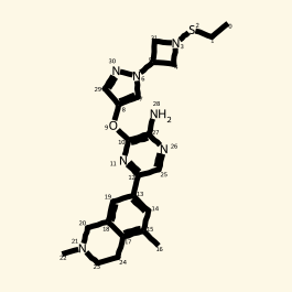 CCSN1CC(n2cc(Oc3nc(-c4cc(C)c5c(c4)CN(C)CC5)cnc3N)cn2)C1